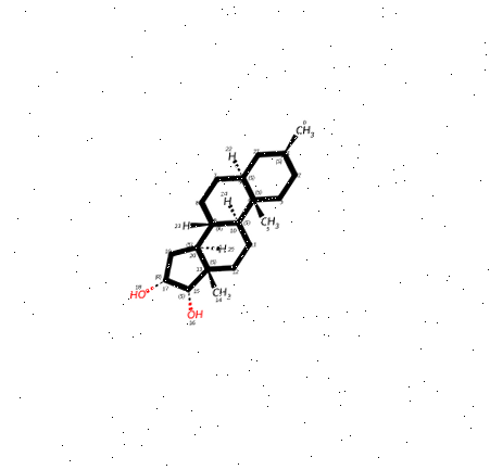 C[C@H]1CC[C@@]2(C)[C@@H](CC[C@@H]3[C@@H]2CC[C@]2(C)[C@H](O)[C@H](O)C[C@@H]32)C1